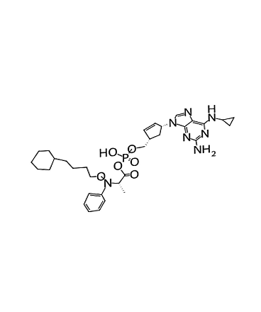 C[C@@H](C(=O)OP(=O)(O)OC[C@@H]1C=C[C@H](n2cnc3c(NC4CC4)nc(N)nc32)C1)N(OCCCCC1CCCCC1)c1ccccc1